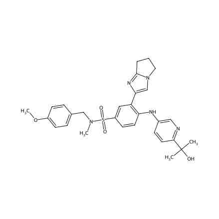 COc1ccc(CN(C)S(=O)(=O)c2ccc(Nc3ccc(C(C)(C)O)nc3)c(-c3cn4c(n3)CCC4)c2)cc1